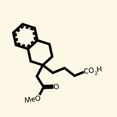 COC(=O)CC1(CCCC(=O)O)CCc2ccccc2C1